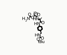 CC(C)[C@H](OC(N)=O)C(=O)N[C@@H](C)C(=O)Nc1ccc(CNC(=O)OC(C)(C)C)cc1